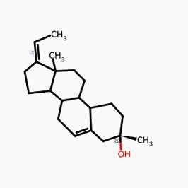 C/C=C1/CCC2C3CC=C4C[C@@](C)(O)CCC4C3CCC12C